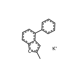 Cc1cc2c(-c3ccccc3)cccc2[cH-]1.[K+]